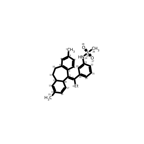 CC/C(=C1/c2ccc(C)cc2CCC2C=C(C)C=CC12)c1cccc(NS(C)(=O)=O)c1